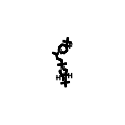 CC(CCC(C)(C)N1C[C@@H]2[C@H](C1)N2C(C)(C)C)N1CCC(F)(C(C)(C)C)CC1